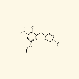 COOc1cc(C(C)C)c(=O)n(Cc2ccc(OC)cc2)n1